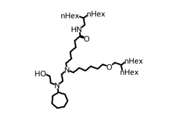 CCCCCCC(CCCCCC)CNC(=O)CCCCCN(CCCCCCOCC(CCCCCC)CCCCCC)CCN(CCO)C1CCCCCC1